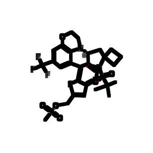 CC(C)(C)S(=O)(=O)N1C[C@H](N2CCOc3cc(C(F)(F)F)cc(-c4ccnc5cc(COS(C)(=O)=O)sc45)c32)CC12CCC2